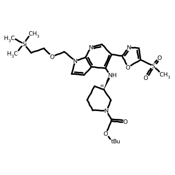 CC(C)(C)OC(=O)N1CCC[C@@H](Nc2c(-c3ncc(S(C)(=O)=O)o3)cnc3c2ccn3COCC[Si](C)(C)C)C1